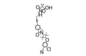 CC1(C)C(Oc2ccc(C#N)c(Cl)c2)C(C)(C)C1N1Cc2cc(C#CCCCNC(=O)C3(C(=O)O)CC3)ccc2C1=O